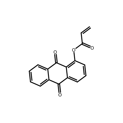 C=CC(=O)Oc1cccc2c1C(=O)c1ccccc1C2=O